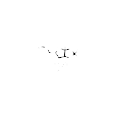 CCCCOC[C@H]1O[C@@H]2OC(C)(C)OC2[C@@H]1OS(=O)(=O)C(F)(F)F